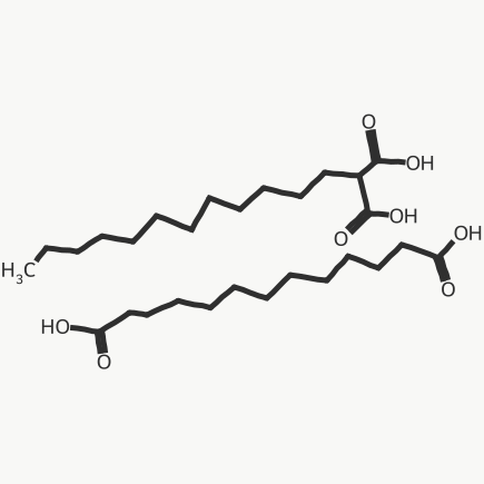 CCCCCCCCCCCCC(C(=O)O)C(=O)O.O=C(O)CCCCCCCCCCCC(=O)O